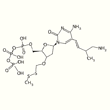 CSSCOC1C[C@H](n2cc(/C=C/C(C)CN)c(N)nc2=O)O[C@@H]1COP(=O)(O)OP(=O)(O)OP(=O)(O)O